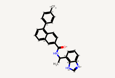 CC(NC(=O)c1ccc2c(-c3ccc(C(F)(F)F)cc3)cccc2c1)c1cccc2nc[nH]c12